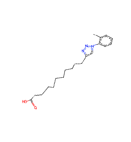 Cc1ccccc1-n1cc(CCCCCCCCCCC(=O)O)nn1